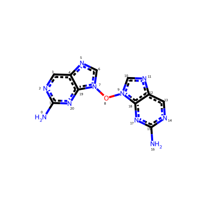 Nc1ncc2ncn(On3cnc4cnc(N)nc43)c2n1